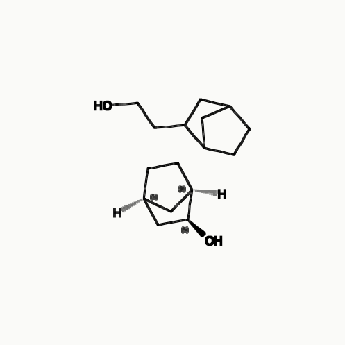 OCCC1CC2CCC1C2.O[C@H]1C[C@H]2CC[C@@H]1C2